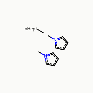 CCCCCCCC.Cn1cccc1.Cn1cccc1